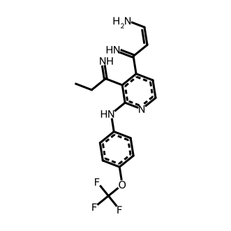 CCC(=N)c1c(C(=N)/C=C\N)ccnc1Nc1ccc(OC(F)(F)F)cc1